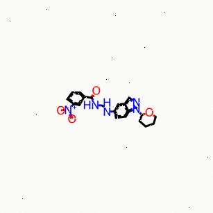 O=C(NCNc1ccc2c(cnn2C2CCCCO2)c1)c1cccc([N+](=O)[O-])c1